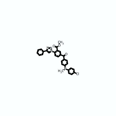 COC(=O)c1cc(C(=O)c2ccc(N(C)c3ccc(Cl)cc3)cc2)ccc1-n1cc(-c2ccccc2)nn1